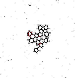 c1ccc(-c2ccc(-c3ccccc3N(c3cccc(-c4cccc(-c5ccccc5)c4-c4ccccc4-c4ccccc4)c3)c3ccc4c(c3)C3(c5ccccc5-c5ccccc53)c3ccccc3-4)cc2)cc1